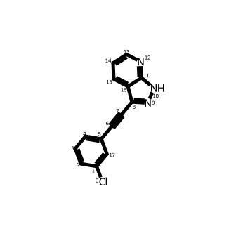 Clc1cccc(C#Cc2n[nH]c3ncccc23)c1